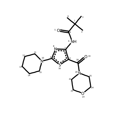 CC(C)(C)C(=O)Nc1nc(N2CCCCC2)sc1C(=O)N1CCOCC1